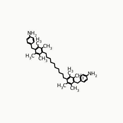 Cc1c(C)c(Cc2ccc(N)cc2)c(C)c(C)c1CCCCCCCCCCc1c(C)c(C)c(Cc2ccc(N)cc2)c(C)c1C